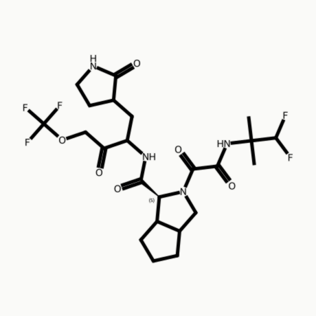 CC(C)(NC(=O)C(=O)N1CC2CCCC2[C@H]1C(=O)NC(CC1CCNC1=O)C(=O)COC(F)(F)F)C(F)F